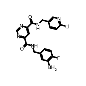 Bc1cc(CNC(=O)c2cc(C(=O)NCc3ccc(Cl)nc3)ncn2)ccc1F